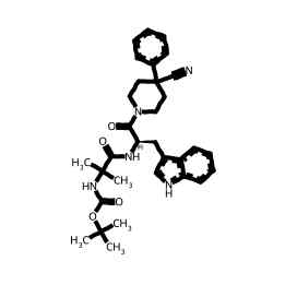 CC(C)(C)OC(=O)NC(C)(C)C(=O)N[C@H](Cc1c[nH]c2ccccc12)C(=O)N1CCC(C#N)(c2ccccc2)CC1